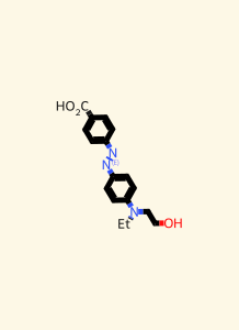 CCN(CCO)c1ccc(/N=N/c2ccc(C(=O)O)cc2)cc1